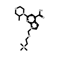 CC1COCCN1c1cc(C(=O)O)c2ccn(COCC[Si](C)(C)C)c2n1